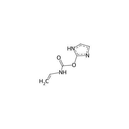 C=CNC(=O)Oc1ncc[nH]1